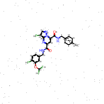 CC(=O)C12CCC(CNC(=O)c3cc(C(=O)NCc4ccc(F)c(OC(F)F)c4)nc4c(F)cnn34)(CC1)CC2